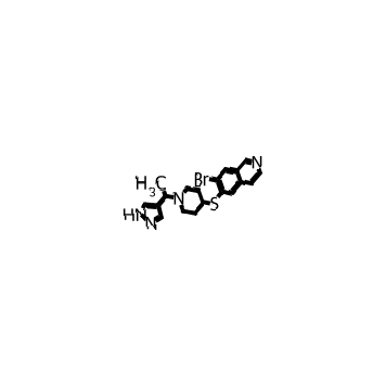 CC(c1cn[nH]c1)N1CCC(Sc2cc3ccncc3cc2Br)CC1